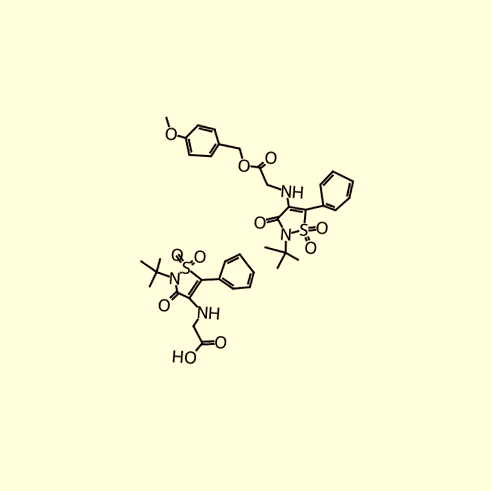 CC(C)(C)N1C(=O)C(NCC(=O)O)=C(c2ccccc2)S1(=O)=O.COc1ccc(COC(=O)CNC2=C(c3ccccc3)S(=O)(=O)N(C(C)(C)C)C2=O)cc1